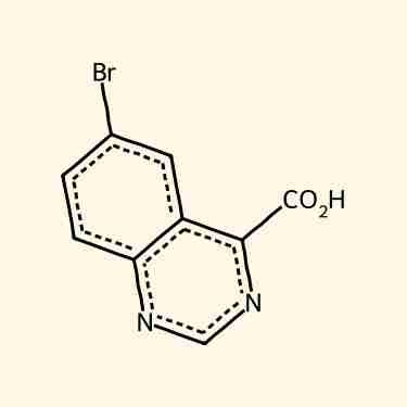 O=C(O)c1ncnc2ccc(Br)cc12